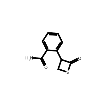 NC(=O)c1ccccc1C1CSC1=O